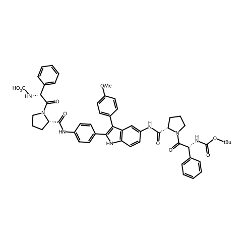 COc1ccc(-c2c(-c3ccc(NC(=O)[C@@H]4CCCN4C(=O)[C@H](NC(=O)O)c4ccccc4)cc3)[nH]c3ccc(NC(=O)[C@@H]4CCCN4C(=O)[C@H](NC(=O)OC(C)(C)C)c4ccccc4)cc23)cc1